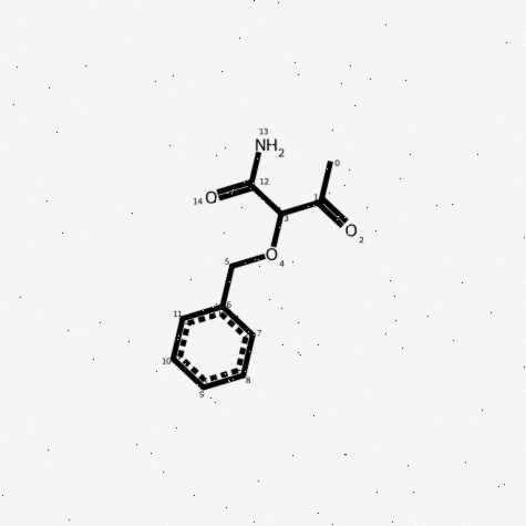 CC(=O)C(OCc1ccccc1)C(N)=O